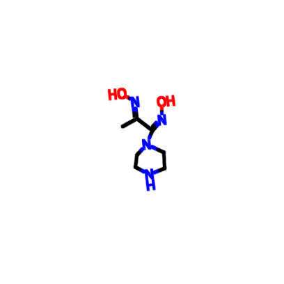 CC(=N\O)/C(=N\O)N1CCNCC1